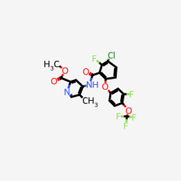 COC(=O)c1cc(NC(=O)c2c(Oc3ccc(OC(F)(F)F)c(F)c3)ccc(Cl)c2F)c(C)cn1